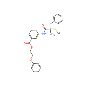 CC(=O)SC(C)(Cc1ccccc1)C(=O)Nc1cccc(C(=O)OCCOc2ccccc2)c1